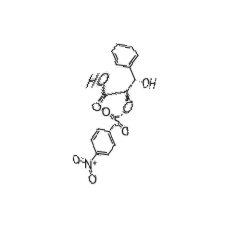 O=C(O)[C@H](OS(=O)(=O)c1ccc([N+](=O)[O-])cc1)[C@@H](O)c1ccccc1